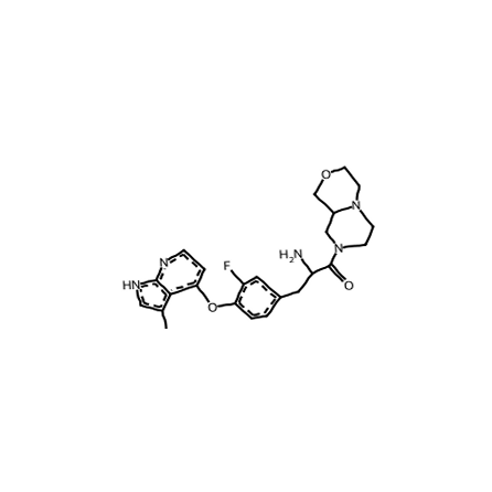 Cc1c[nH]c2nccc(Oc3ccc(CC(N)C(=O)N4CCN5CCOCC5C4)cc3F)c12